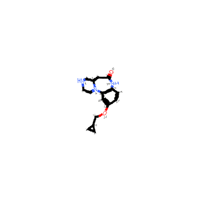 O=C1CC2CNCCN2c2cc(OCC3CC3)ccc2N1